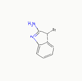 CCC1C(N)=Nc2ccccc21